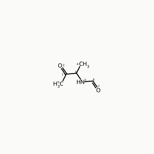 CC(=O)C(C)NC=O